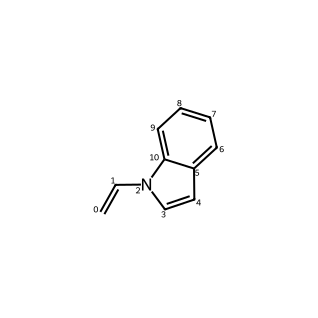 C=Cn1ccc2ccccc21